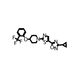 FC(F)(F)c1ccccc1OC1CCN(c2ncc(-c3nc(C4CC4)no3)s2)CC1